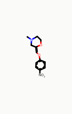 CN1CCO/C(=C\Oc2ccc([N+](=O)[O-])cc2)C1